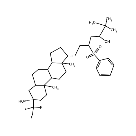 CC(C)(C)C(O)CC(CC[C@H]1CCC2C3CCC4C[C@](O)(C(F)(F)F)CCC4(C)C3CCC21C)S(=O)(=O)c1ccccc1